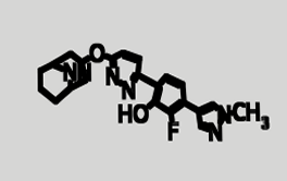 Cn1cc(-c2ccc(-c3ccc(OC4CC5CCCC(C4)N5)nn3)c(O)c2F)cn1